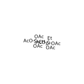 CC(=O)O[Si](C)(OC(C)=O)OC(C)=O.CC[Si](OC(C)=O)(OC(C)=O)OC(C)=O